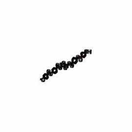 COc1ccc(C(=O)Oc2ccc(C(=O)OC3COC4C(OC(=O)c5ccc(OC(=O)c6ccc(O)cc6)cc5)COC34)cc2)cc1